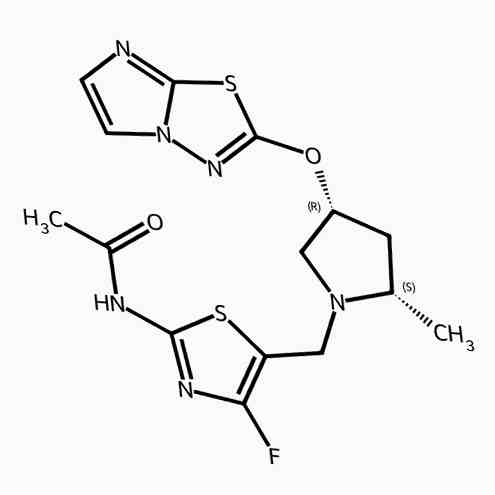 CC(=O)Nc1nc(F)c(CN2C[C@H](Oc3nn4ccnc4s3)C[C@@H]2C)s1